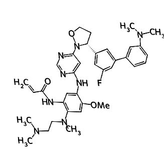 C=CC(=O)Nc1cc(Nc2cc(N3OCC[C@@H]3c3cc(F)cc(-c4cccc(N(C)C)c4)c3)ncn2)c(OC)cc1N(C)CCN(C)C